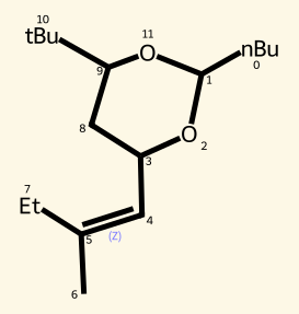 CCCCC1OC(/C=C(/C)CC)CC(C(C)(C)C)O1